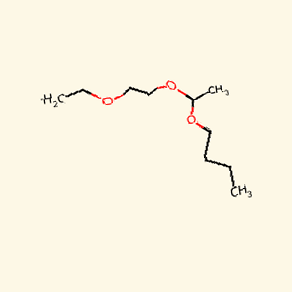 [CH2]COCCOC(C)OCCCC